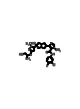 CC(CO)Oc1cc(C2(O)CC3CC(c4ncn(C)c4C(=O)Nc4ccc(F)c(Cl)c4)CC3C2)n(C)n1